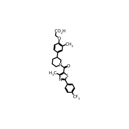 Cc1cc(C2CCCN(C(=O)c3sc(-c4ccc(C(F)(F)F)cc4)nc3C)C2)ccc1OCC(=O)O